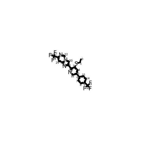 CCSc1cc(-c2ccc(C(F)(F)F)cc2)cnc1-c1cn2cnc(C(F)(F)F)cc2n1